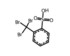 O=S(=O)(O)c1ccccc1C(Br)(Br)Br